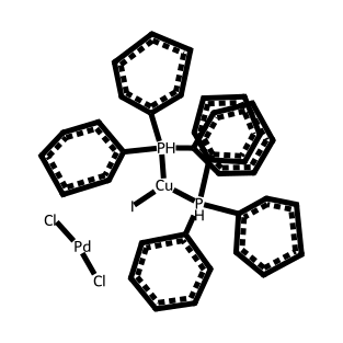 [Cl][Pd][Cl].[I][Cu]([PH](c1ccccc1)(c1ccccc1)c1ccccc1)[PH](c1ccccc1)(c1ccccc1)c1ccccc1